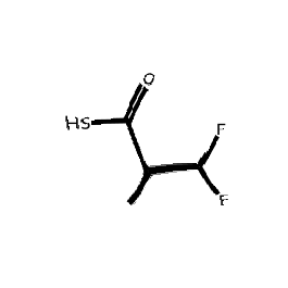 CC(C(=O)S)C(F)F